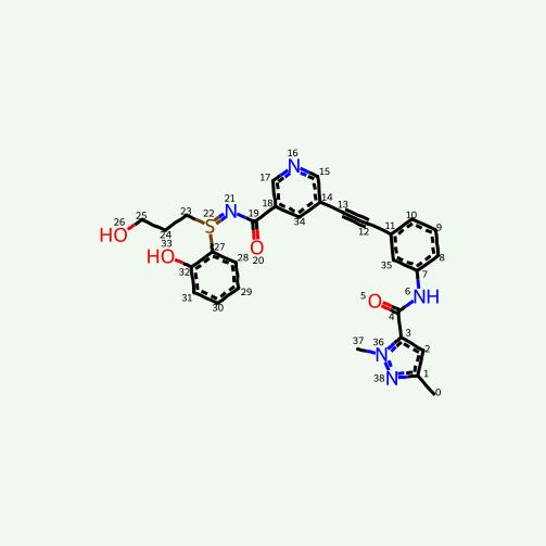 Cc1cc(C(=O)Nc2cccc(C#Cc3cncc(C(=O)N=S(CCCO)c4ccccc4O)c3)c2)n(C)n1